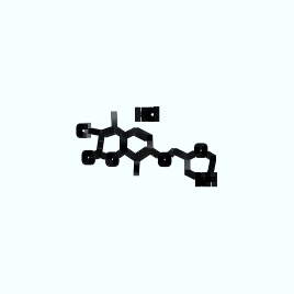 Cc1c(Cl)c(=O)oc2c(C)c(OCC3CNCCO3)ccc12.Cl